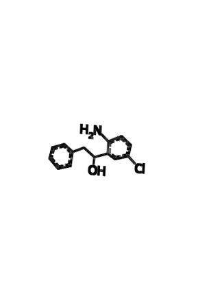 Nc1ccc(Cl)cc1C(O)Cc1ccccc1